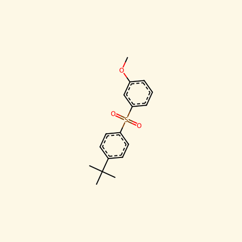 COc1cccc(S(=O)(=O)c2ccc(C(C)(C)C)cc2)c1